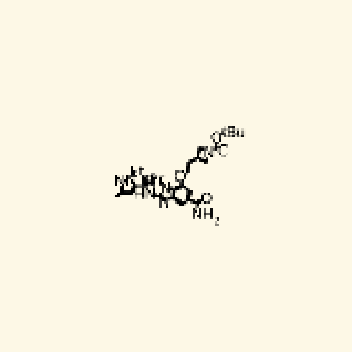 CCCn1c(NC(=O)c2cc(C)nn2CC)nc2cc(C(N)=O)cc(OCCC3CN(C(=O)OC(C)(C)C)C3)c21